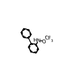 FC(F)(F)ONc1ccccc1-c1ccccc1